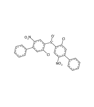 O=[N+]([O-])c1cc([S+]([O-])c2cc([N+](=O)[O-])c(-c3ccccc3)cc2Cl)c(Cl)cc1-c1ccccc1